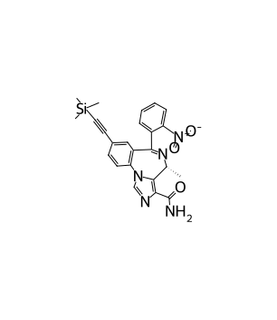 C[C@H]1N=C(c2ccccc2[N+](=O)[O-])c2cc(C#C[Si](C)(C)C)ccc2-n2cnc(C(N)=O)c21